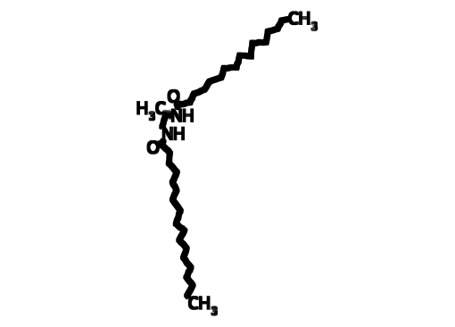 CCCCCCCCCCCCCCCCCC(=O)NC[C@@H](C)NC(=O)CCCCCCCCCCCCCCC